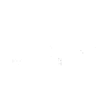 O=C(O)CCCC(=O)NCC[N+]12CCC(CC1)C2